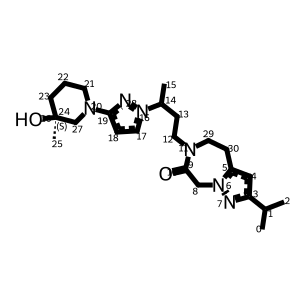 CC(C)c1cc2n(n1)CC(=O)N(CCC(C)n1ccc(N3CCC[C@](C)(O)C3)n1)CC2